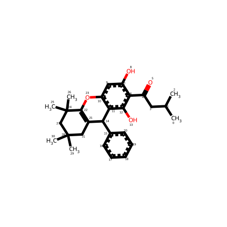 CC(C)CC(=O)c1c(O)cc2c(c1O)C(c1ccccc1)C1=C(O2)C(C)(C)CC(C)(C)C1